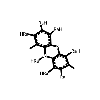 Cc1[c]([RaH])[c]([RaH])c2c([c]1[RaH])Sc1[c]([RaH])[c]([RaH])[c]([RaH])c(C)c1[N]2[RaH]